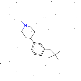 CN1CCC(c2cccc(CC(C)(C)C)c2)CC1